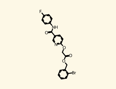 O=C(COc1ccc(C(=O)Nc2ccc(F)cc2)cn1)OCc1ccccc1Br